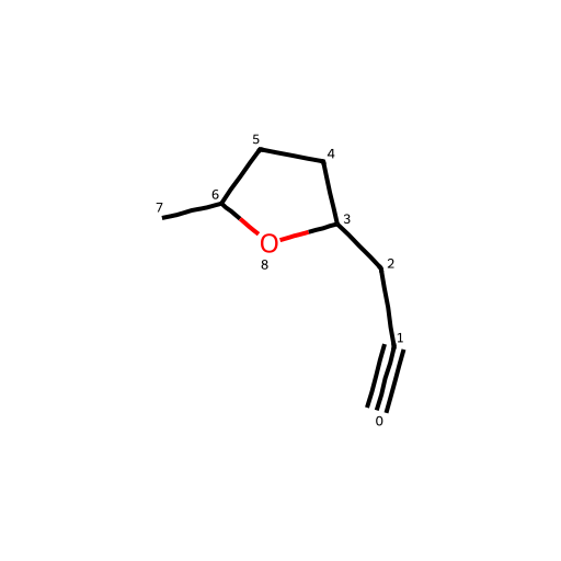 C#CCC1CCC(C)O1